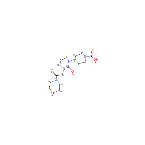 O=C(O)N1CCC(N2CCCN(CC(=O)N3CCOCC3)C2=O)CC1